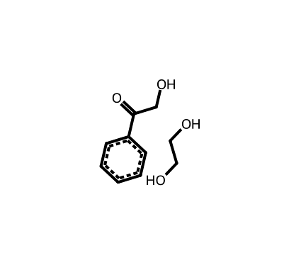 O=C(CO)c1ccccc1.OCCO